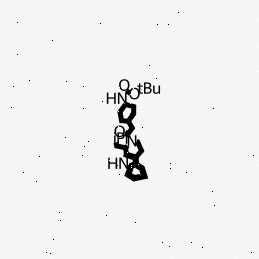 CC(C)CC1c2[nH]c3ccccc3c2CCN1C(=O)CC1CCC(NC(=O)OC(C)(C)C)CC1